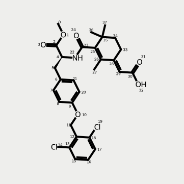 COC(=O)[C@H](Cc1ccc(OCc2c(Cl)cccc2Cl)cc1)NC(=O)C1=C(C)C(=CC(=O)O)CCC1(C)C